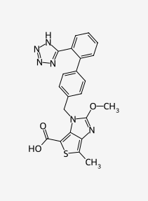 COc1nc2c(C)sc(C(=O)O)c2n1Cc1ccc(-c2ccccc2-c2nnn[nH]2)cc1